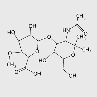 COC1C(C(=O)O)OC(OC2C(O)C(CO)OC(C)(C)C2NC(C)=O)C(O)C1O